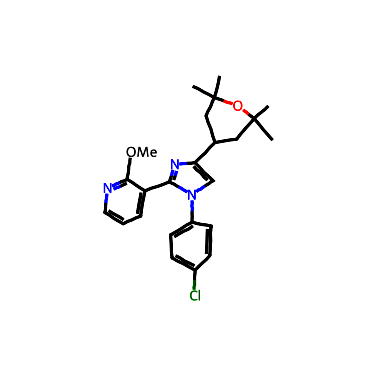 COc1ncccc1-c1nc(C2CC(C)(C)OC(C)(C)C2)cn1-c1ccc(Cl)cc1